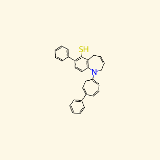 Sc1c(-c2ccccc2)ccc2c1CC=CCN2C1=CC=CC(c2ccccc2)=CC1